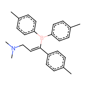 Cc1ccc(B(/C(=C\CN(C)C)c2ccc(C)cc2)c2ccc(C)cc2)cc1